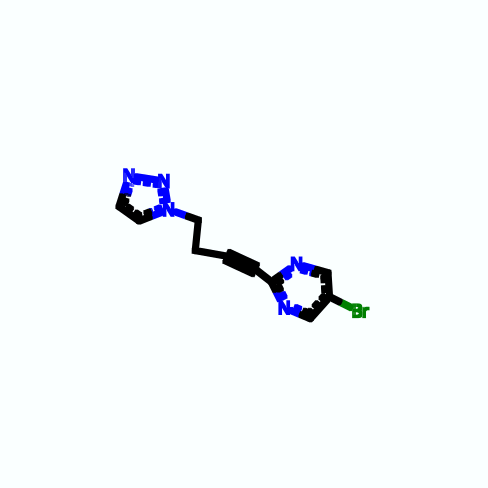 Brc1cnc(C#CCCn2ccnn2)nc1